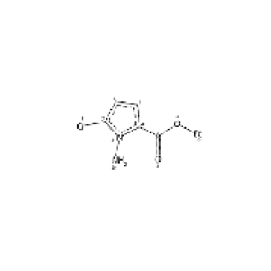 CCOC(=O)c1ccc(Cl)n1N